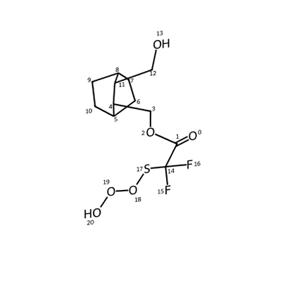 O=C(OCC1C2CCC(CC2)C1CO)C(F)(F)SOOO